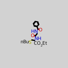 CCCCSC[C@H](NC(=O)CNC(=O)c1ccccc1)C(=O)OCC